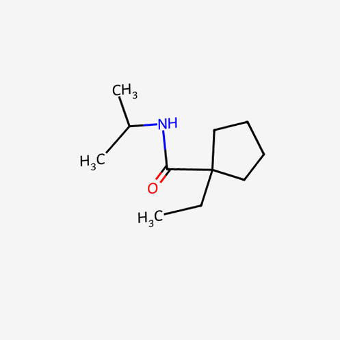 CCC1(C(=O)NC(C)C)CCCC1